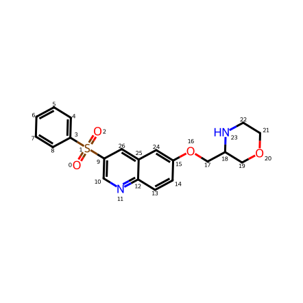 O=S(=O)(c1ccccc1)c1cnc2ccc(OCC3COCCN3)cc2c1